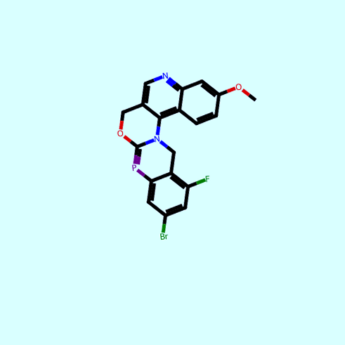 COc1ccc2c3c(cnc2c1)COC1=Pc2cc(Br)cc(F)c2CN13